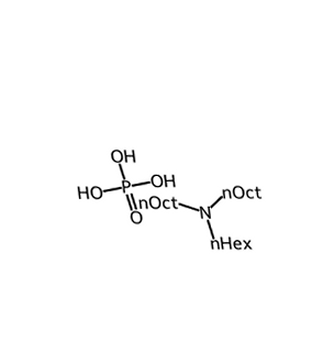 CCCCCCCCN(CCCCCC)CCCCCCCC.O=P(O)(O)O